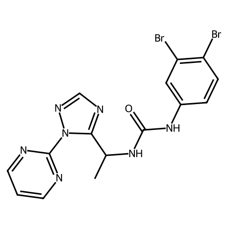 CC(NC(=O)Nc1ccc(Br)c(Br)c1)c1ncnn1-c1ncccn1